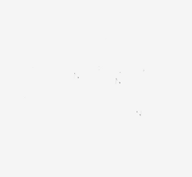 CC1CCCN(C(=O)n2ccnc2)C1